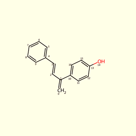 C=C(C=Cc1ccccc1)c1ccc(O)cc1